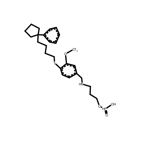 O=[PH](O)OCCCNCc1ccc(SCCCCC2(c3ccccc3)CCCC2)c(OC(F)(F)F)c1